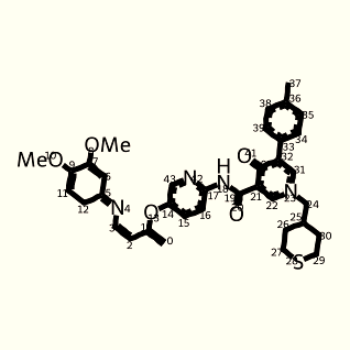 C=C(/C=C\N=C1\C=C(OC)C(OC)=CC1)Oc1ccc(NC(=O)c2cn(CC3CCSCC3)cc(-c3ccc(C)cc3)c2=O)nc1